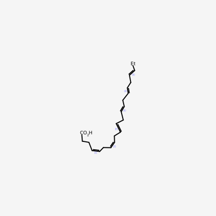 CC/C=C/C/C=C/C/C=C/C/C=C/C/C=C\C/C=C\CCC(=O)O